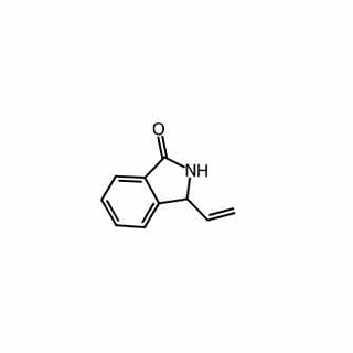 C=CC1NC(=O)c2ccccc21